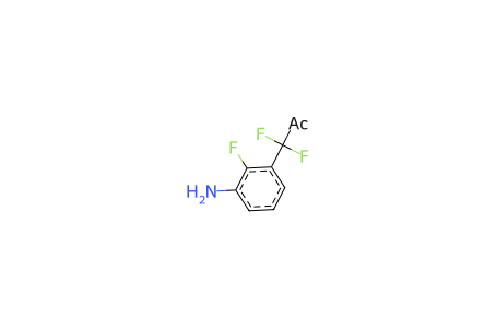 CC(=O)C(F)(F)c1cccc(N)c1F